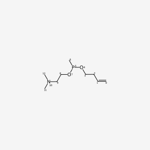 C=CCCOP(C)OCCN(C)C